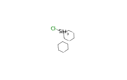 C1CCCCC1.C1CCCCC1.[SiH3]Cl